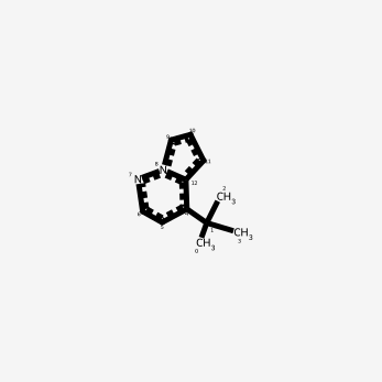 CC(C)(C)c1ccnn2cccc12